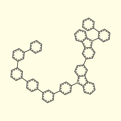 c1ccc(-c2cccc(-c3cccc(-c4ccc(-c5cccc(-c6ccc(-n7c8ccccc8c8cc(-c9ccc%10c(c9)c9ccccc9n%10-c9ccccc9-c9ccccc9)ccc87)cc6)c5)cc4)c3)c2)cc1